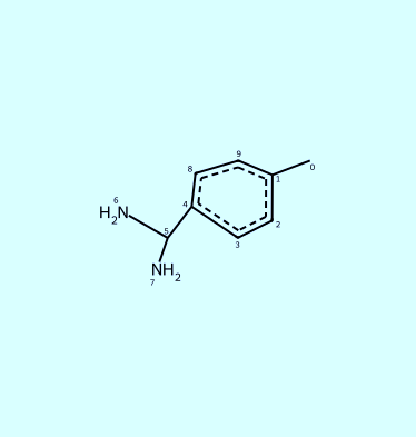 Cc1ccc(C(N)N)cc1